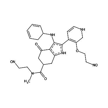 CN(CCN=O)C(=O)C1CC(=O)c2c([nH]c(C3=C(OCCN=O)CNC=C3)c2NC2C=CC=CC2)C1